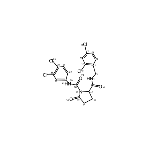 O=C(NCc1ccc(Cl)cc1Cl)C1CCC(=O)N1C(=O)Nc1ccc(Cl)c(Cl)c1